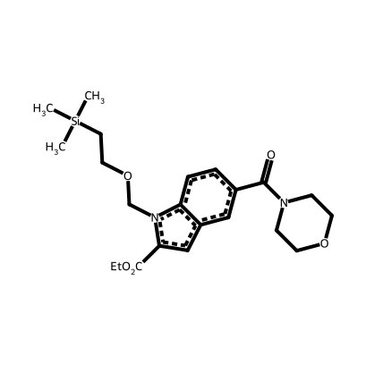 CCOC(=O)c1cc2cc(C(=O)N3CCOCC3)ccc2n1COCC[Si](C)(C)C